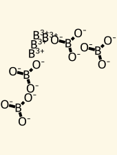 [B+3].[B+3].[B+3].[B+3].[O-]B([O-])[O-].[O-]B([O-])[O-].[O-]B([O-])[O-].[O-]B([O-])[O-]